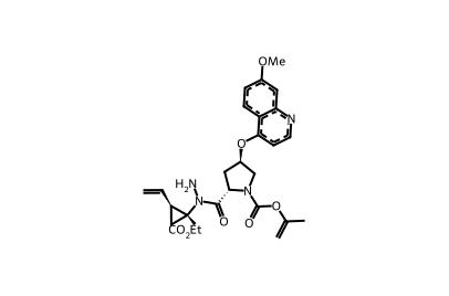 C=C[C@@H]1C[C@@]1(C(=O)OCC)N(N)C(=O)[C@@H]1C[C@@H](Oc2ccnc3cc(OC)ccc23)CN1C(=O)OC(=C)C